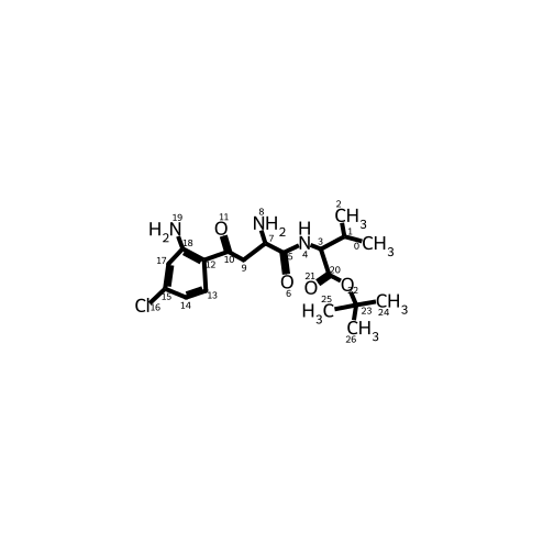 CC(C)C(NC(=O)C(N)CC(=O)c1ccc(Cl)cc1N)C(=O)OC(C)(C)C